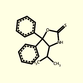 CC(C)C1NC(=S)OC1(c1ccccc1)c1ccccc1